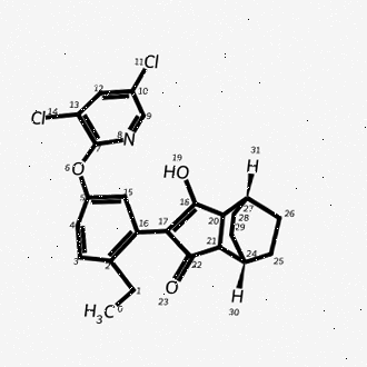 CCc1ccc(Oc2ncc(Cl)cc2Cl)cc1C1=C(O)C2C(C1=O)[C@H]1CC[C@@H]2CC1